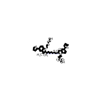 CC1(C)C(/C=C/C=C/C=C/C=C2/N(CCS(=O)(=O)O)c3ccc(-c4cccs4)cc3C2(C)C)=[N+](CCSOOO)c2ccc(-c3cccs3)cc21